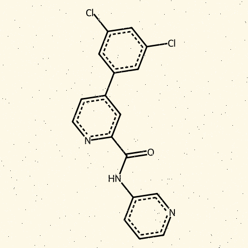 O=C(Nc1cccnc1)c1cc(-c2cc(Cl)cc(Cl)c2)ccn1